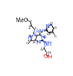 COCCCN1N=C(C)C2N=C(NCCO)N=C(Nc3cc(C)ccn3)C21